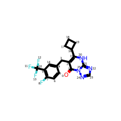 O=c1c(Cc2ccc(F)c(C(F)(F)F)c2)c(C2CCC2)[nH]c2ncnn12